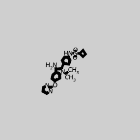 CC(C)n1c(-c2ccc(NS(=O)(=O)C3CCC3)cc2)c(N)c2ccc(Oc3ncccn3)cc21